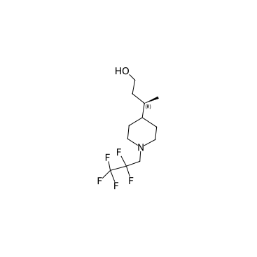 C[C@H](CCO)C1CCN(CC(F)(F)C(F)(F)F)CC1